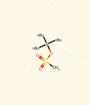 CCCC[Si](CCCC)(CCCC)OS(C)(=O)=O